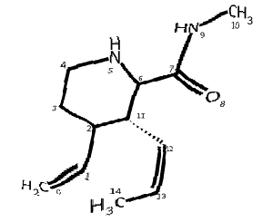 C=CC1CCNC(C(=O)NC)[C@@H]1/C=C\C